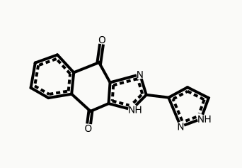 O=C1c2ccccc2C(=O)c2[nH]c(-c3cc[nH]n3)nc21